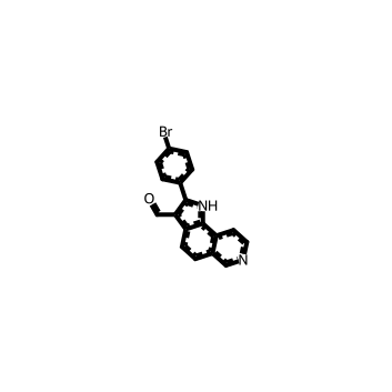 O=Cc1c(-c2ccc(Br)cc2)[nH]c2c1ccc1cnccc12